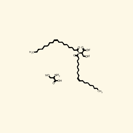 CCCCCCCC/C=C\CCCCCCCC(=O)N(C(=O)CCCCCCC/C=C\CCCCCCCC)C(CO)C(=O)O.NC(CO)C(=O)O